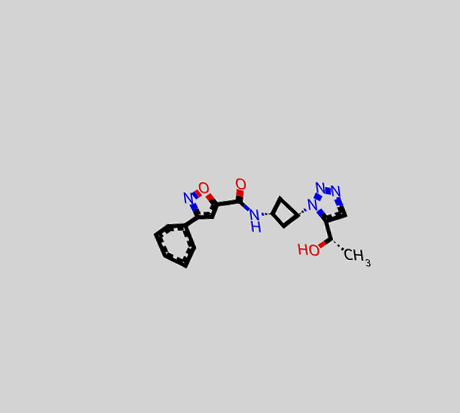 C[C@H](O)c1cnnn1[C@H]1C[C@@H](NC(=O)c2cc(-c3ccccc3)no2)C1